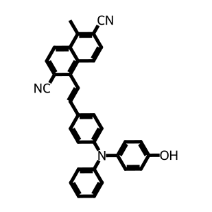 Cc1c(C#N)ccc2c(C=Cc3ccc(N(c4ccccc4)c4ccc(O)cc4)cc3)c(C#N)ccc12